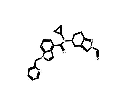 O=Cn1cc2c(n1)CCC(N(C(=O)c1cccc3c1ccn3Cc1ccccn1)C1CC1)C2